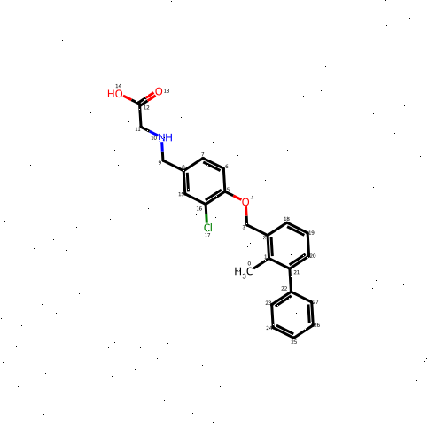 Cc1c(COc2ccc(CNCC(=O)O)cc2Cl)cccc1-c1ccccc1